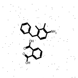 Cc1c(N)ccc(Cc2ccccc2)c1C.O=C(O)c1ccccc1C(=O)O